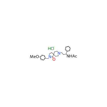 COc1ccc(CN2CCC3(CCN(CC[C@H](NC(C)=O)c4ccccc4)CC3)C2=O)cc1.Cl